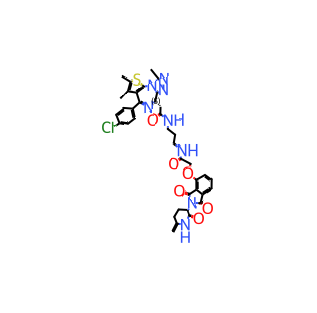 C=C1CCC(N2C(=O)c3cccc(OCC(=O)NCCCNC(=O)C[C@@H]4N=C(c5ccc(Cl)cc5)c5c(sc(C)c5C)-n5c(C)nnc54)c3C2=O)C(=O)N1